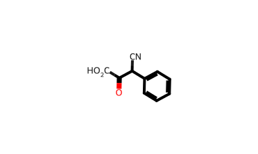 N#CC(C(=O)C(=O)O)c1ccccc1